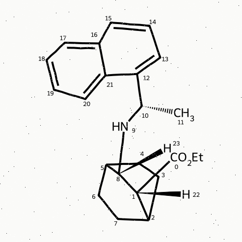 CCOC(=O)[C@@H]1C2CCC(CC2)[C@@H]1N[C@@H](C)c1cccc2ccccc12